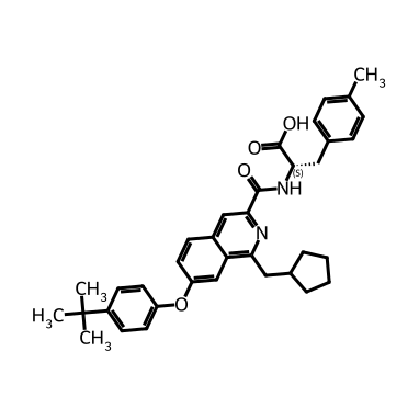 Cc1ccc(C[C@H](NC(=O)c2cc3ccc(Oc4ccc(C(C)(C)C)cc4)cc3c(CC3CCCC3)n2)C(=O)O)cc1